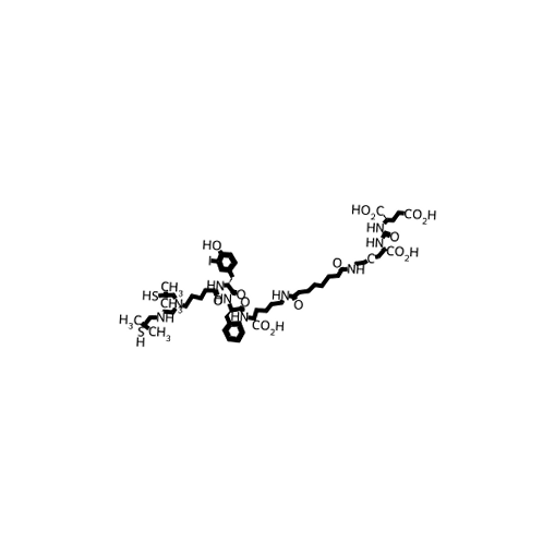 CC(C)(S)CNCCN(CCCCC(=O)N[C@H](Cc1ccc(O)c(I)c1)C(=O)N[C@H](Cc1ccccc1)C(=O)N[C@H](CCCCNC(=O)CCCCCCC(=O)NCCCC[C@H](NC(=O)N[C@@H](CCC(=O)O)C(=O)O)C(=O)O)C(=O)O)CC(C)(C)S